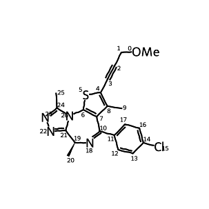 COCC#Cc1sc2c(c1C)C(c1ccc(Cl)cc1)=N[C@@H](C)c1nnc(C)n1-2